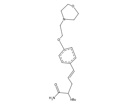 CCCCC(C/C=C/c1ccc(OCCN2CCOCC2)cc1)C(N)=O